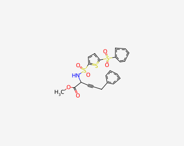 COC(=O)C(C#CCc1ccccc1)NS(=O)(=O)c1ccc(S(=O)(=O)c2ccccc2)s1